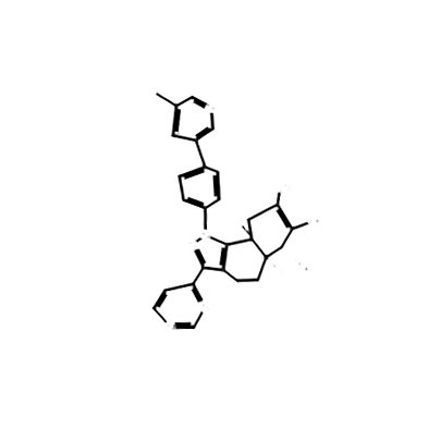 CCC[C@H]1C(O)=C(C#N)C[C@@]2(C)c3c(c(-c4ccncn4)nn3-c3ccc(-c4cncc(F)c4)cc3)CC[C@H]12